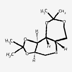 CC1(C)OC[C@@H]2SC[C@H]3OC(C)(C)O[C@H]3[C@@H]2O1